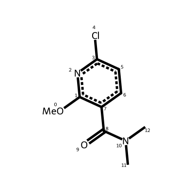 COc1nc(Cl)ccc1C(=O)N(C)C